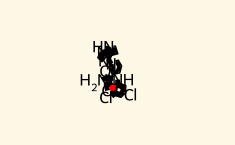 NC(=O)C(Nc1cc(Cl)cc(Cl)c1)(C1COC1)[C@@H]1CCCN(c2ncnc3[nH]ccc23)C1